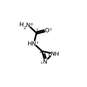 NC(=O)NC1=NN1